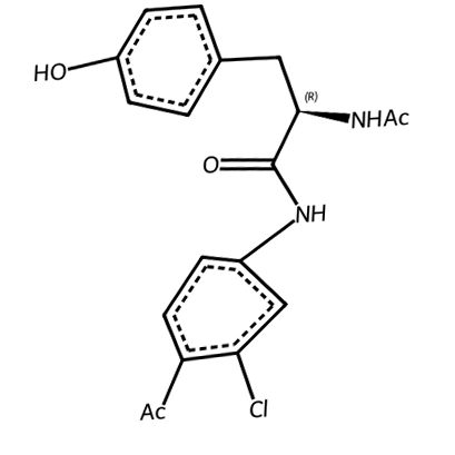 CC(=O)N[C@H](Cc1ccc(O)cc1)C(=O)Nc1ccc(C(C)=O)c(Cl)c1